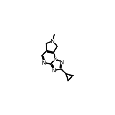 CN1Cc2cnc3nc(C4CC4)nn3c2C1